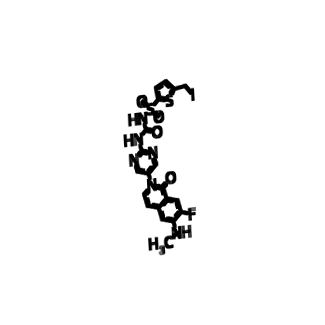 CNc1cc2ccn(-c3cnc(NC(=O)NS(=O)(=O)c4ccc(CI)s4)nc3)c(=O)c2cc1F